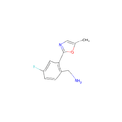 Cc1cnc(-c2cc(F)ccc2CN)o1